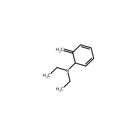 C=C1C=CC=CC1N(CC)CC